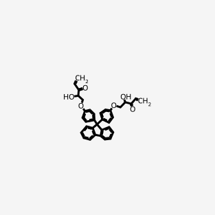 C=CC(=O)C(O)COc1ccc(C2(c3ccc(OCC(O)C(=O)C=C)cc3)c3ccccc3-c3ccccc32)cc1